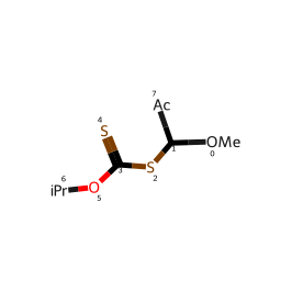 COC(SC(=S)OC(C)C)C(C)=O